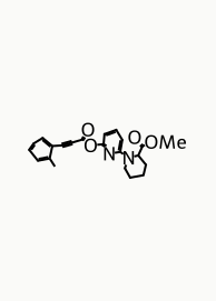 COC(=O)C1CCCCN1c1cccc(OC(=O)C#Cc2ccccc2C)n1